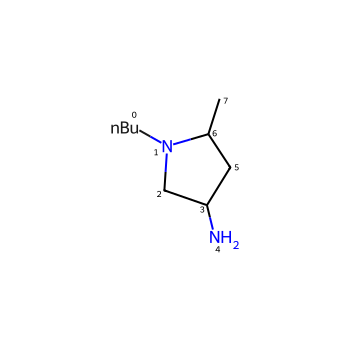 CCCCN1CC(N)CC1C